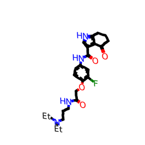 CCN(CC)CCCNC(=O)COc1ccc(NC(=O)c2c[nH]c3c2C(=O)CCC3)cc1F